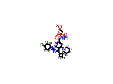 COCCS(=O)(=O)NC(=O)c1cc(N2CCCCC2)c2c(C3CCC3)nn(-c3ccc(F)cc3)c2n1